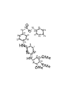 COc1cc(Nc2nccc(Nc3ccc(CC(=O)OCc4ccccc4)cc3)n2)cc(OC)c1OC